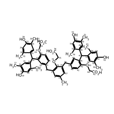 Cc1cc(Cc2ccc(OCC(=O)O)c(C(c3cc(C)c(O)cc3C)c3cc(C)c(O)cc3C)c2)c(OCC(=O)O)c(Cc2ccc(OCC(=O)O)c(C(c3cc(C)c(O)cc3C)c3cc(C)c(O)cc3C)c2)c1